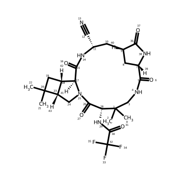 CC1(C)CNC(=O)[C@@H]2C[C@H](C[C@@H](C#N)NC(=O)[C@@H]3[C@H]4CC(C)(C)[C@H]4CN3C(=O)[C@H]1NC(=O)C(F)(F)F)C(=O)N2